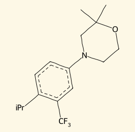 CC(C)c1ccc(N2CCOC(C)(C)C2)cc1C(F)(F)F